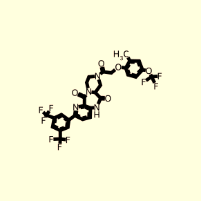 Cc1cc(OC(F)(F)F)ccc1OCC(=O)N1CCN2C(=O)c3nc(-c4cc(C(F)(F)F)cc(C(F)(F)F)c4)ccc3NC(=O)C2C1